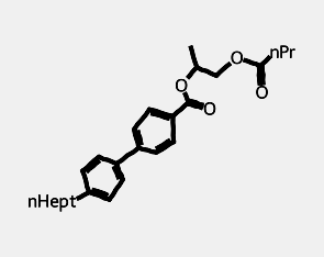 CCCCCCCc1ccc(-c2ccc(C(=O)OC(C)COC(=O)CCC)cc2)cc1